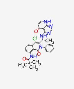 C[C@H](Nc1ncnc2[nH]ccc(=O)c12)c1c(Cl)c2cccc(NC(=O)C(C)(C)C)c2c(=O)n1-c1ccccc1